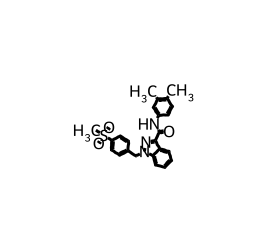 Cc1ccc(NC(=O)c2nn(Cc3ccc(S(C)(=O)=O)cc3)c3ccccc23)cc1C